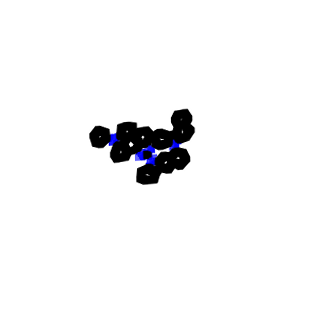 c1ccc(-n2c3ccccc3c3c(-c4nc(-n5c6ccccc6c6cc7cccc(-n8c9ccccc9c9c%10ccccc%10ccc98)c7cc65)nc5ccccc45)cccc32)cc1